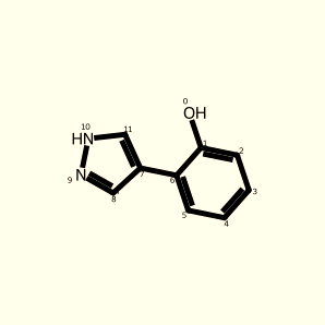 Oc1ccccc1-c1[c]n[nH]c1